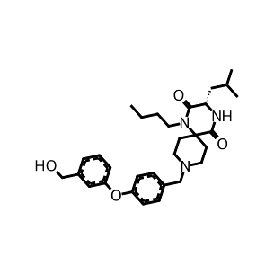 CCCCN1C(=O)[C@H](CC(C)C)NC(=O)C12CCN(Cc1ccc(Oc3cccc(CO)c3)cc1)CC2